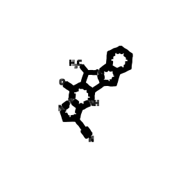 CC1c2c([nH]c3c(C#N)cnn3c2=O)-c2cc3ccccc3n21